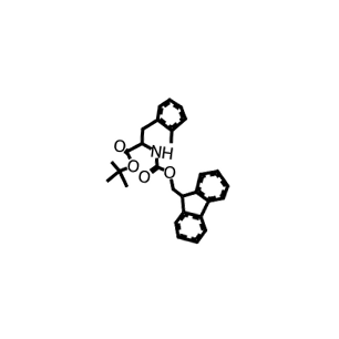 Cc1ccccc1CC(NC(=O)OCC1c2ccccc2-c2ccccc21)C(=O)OC(C)(C)C